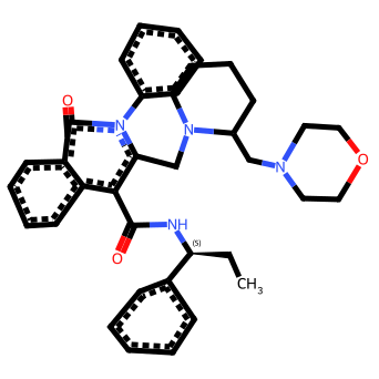 CC[C@H](NC(=O)c1c(CN2CCCCC2CN2CCOCC2)n(-c2ccccc2)c(=O)c2ccccc12)c1ccccc1